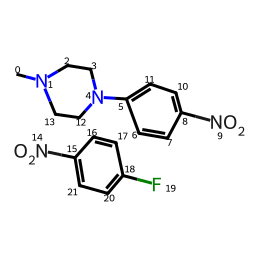 CN1CCN(c2ccc([N+](=O)[O-])cc2)CC1.O=[N+]([O-])c1ccc(F)cc1